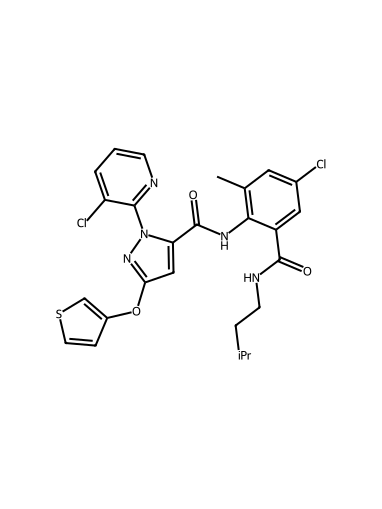 Cc1cc(Cl)cc(C(=O)NCCC(C)C)c1NC(=O)c1cc(Oc2ccsc2)nn1-c1ncccc1Cl